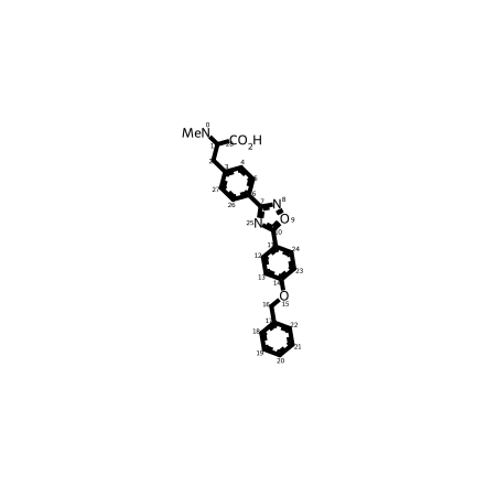 CNC(Cc1ccc(-c2noc(-c3ccc(OCc4ccccc4)cc3)n2)cc1)C(=O)O